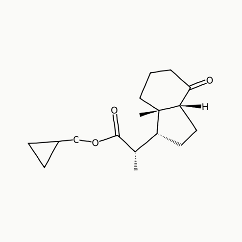 C[C@H](C(=O)OCC1CC1)[C@H]1CC[C@H]2C(=O)CCC[C@@]12C